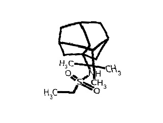 CCS(=O)(=O)NC12CC3CC(C1)C(C(C)(C)C)C(C3)C2